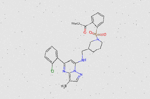 Bc1cnn2c(NCC3CCCN(S(=O)(=O)c4ccccc4C(=O)OC)C3)cc(-c3ccccc3Cl)nc12